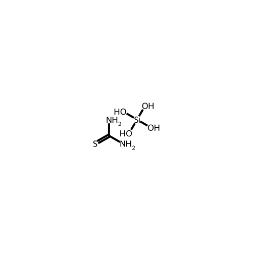 NC(N)=S.O[Si](O)(O)O